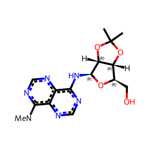 CNc1ncnc2c(N[C@@H]3O[C@H](CO)[C@H]4OC(C)(C)O[C@H]43)ncnc12